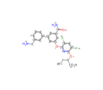 CC(C)CC(Oc1nc(Oc2cc(C(N)=O)cc(-c3cccc(CN)c3)c2)c(F)cc1F)C(=O)O